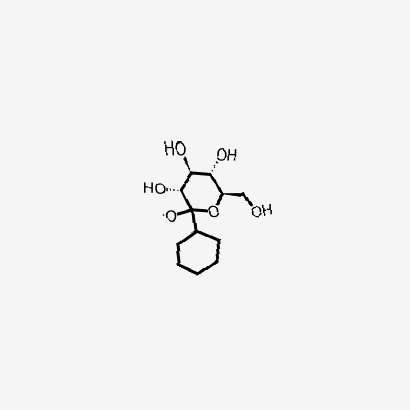 [O]C1(C2CCCCC2)O[C@H](CO)[C@@H](O)[C@H](O)[C@H]1O